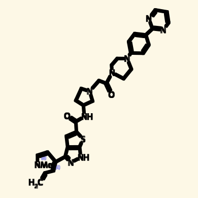 C=C/C=C(\C=C/NC)c1n[nH]c2sc(C(=O)NC3CCN(CC(=O)N4CCN(c5ccc(-c6ncccn6)cc5)CC4)C3)cc12